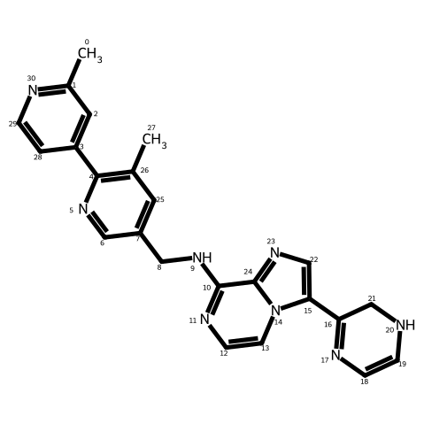 Cc1cc(-c2ncc(CNc3nccn4c(C5=NC=CNC5)cnc34)cc2C)ccn1